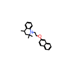 CC1CC(C)(C)N(CCOc2ccc3ccccc3c2)c2ccccc21